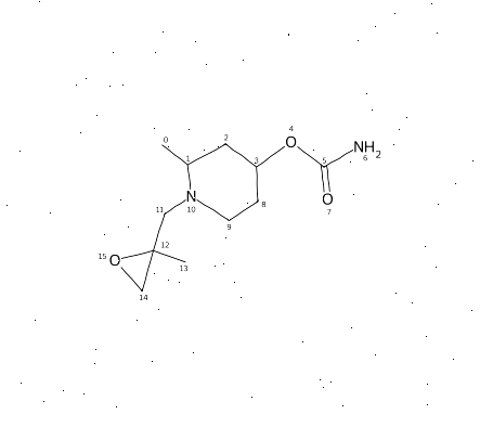 CC1CC(OC(N)=O)CCN1CC1(C)CO1